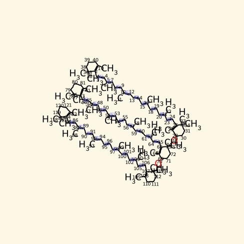 CC1=C(/C=C/C(C)=C/C=C/C(C)=C/C=C/C=C(C)/C=C/C=C(C)/C=C/C2=C(C)C(=O)CCC2(C)C)C(C)(C)CCC1.CC1=C(/C=C/C(C)=C/C=C/C(C)=C/C=C/C=C(C)/C=C/C=C(C)/C=C/C2=C(C)C(=O)CCC2(C)C)C(C)(C)CCC1.CC1=C(/C=C/C(C)=C/C=C/C(C)=C/C=C/C=C(C)/C=C/C=C(C)/C=C/C2=C(C)CCCC2(C)C)C(C)(C)CCC1